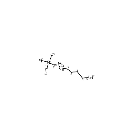 CCCCC[IH+].F[B-](F)(F)F